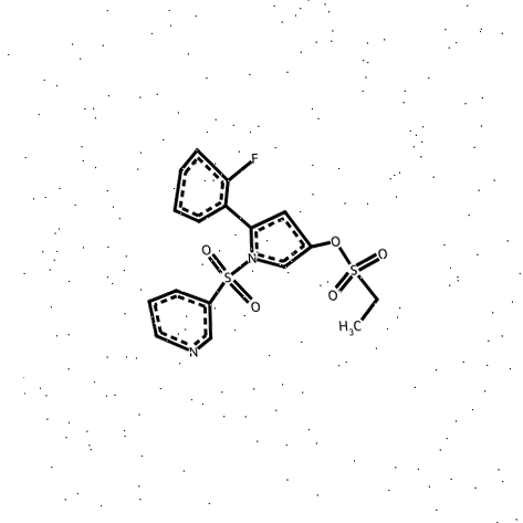 CCS(=O)(=O)Oc1cc(-c2ccccc2F)n(S(=O)(=O)c2cccnc2)c1